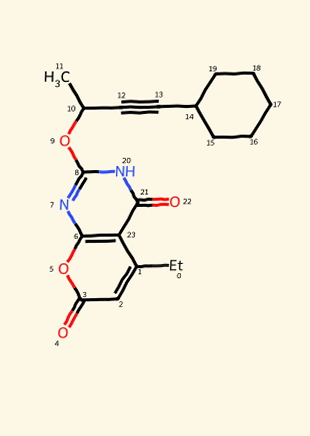 CCc1cc(=O)oc2nc(OC(C)C#CC3CCCCC3)[nH]c(=O)c12